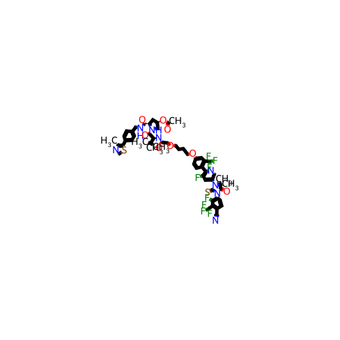 CC(=O)O[C@@H]1C[C@@H](C(=O)NCc2ccc(-c3scnc3C)cc2)N(C(=O)[C@@H](NC(=O)COCCCCOc2ccc(-c3ncc(N4C(=S)N(c5ccc(C#N)c(C(F)(F)F)c5F)C(=O)C4(C)C)cc3F)c(C(F)(F)F)c2)C(C)(C)C)C1